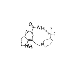 NC(=O)c1cc(CN2CCCC(C(F)(F)F)C2)c2[nH]ccc2n1